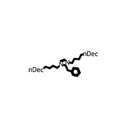 CCCCCCCCCCCCCCN1C=CN(CCCCCCCCCCCCCC)C1Cc1ccccc1